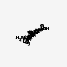 CC(C)(N)C(=O)N1CCN(c2nnc(-c3ccc(CCC(=O)O)cc3)c3ccccc23)CC1